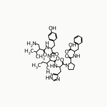 CCC(C)C(NC(=O)C(Cc1ccc(O)cc1)NC(=O)C(CN)C(C)C)C(=O)NC(Cc1c[nH]cn1)C(=O)N1CCCC1C(=O)NC(Cc1ccccc1)C(=O)O